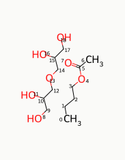 CCCCOC(C)=O.OCC(O)COCC(O)CO